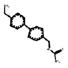 NCc1ccc(-c2ccc(CNC(N)=O)cc2)cc1